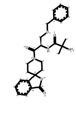 CC(C)(N)C(=O)N[C@H](COCc1ccccc1)C(=O)N1CCC2(CC1)OC(=O)c1ccccc12